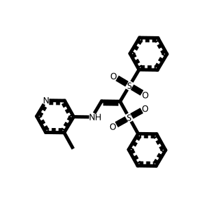 Cc1ccncc1NC=C(S(=O)(=O)c1ccccc1)S(=O)(=O)c1ccccc1